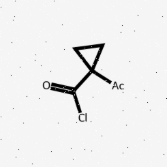 CC(=O)C1(C(=O)Cl)CC1